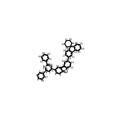 c1ccc(-c2cc(-c3ccc4oc5ccc(-c6ccc7c(c6)-c6ccccc6C76CCCCC6)cc5c4c3)nc(-c3ccccc3)n2)cc1